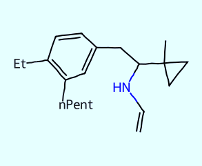 C=CNC(Cc1ccc(CC)c(CCCCC)c1)C1(C)CC1